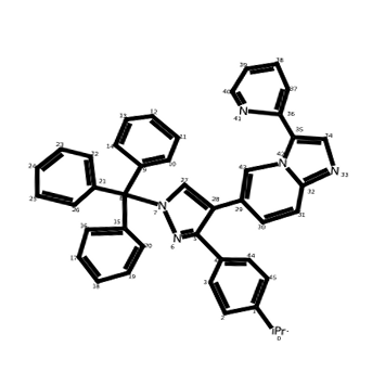 C[C](C)c1ccc(-c2nn(C(c3ccccc3)(c3ccccc3)c3ccccc3)cc2-c2ccc3ncc(-c4ccccn4)n3c2)cc1